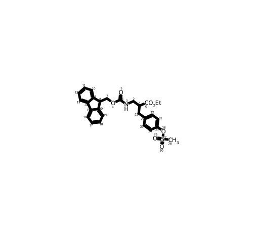 CCOC(=O)C(CNC(=O)OCC1c2ccccc2-c2ccccc21)Cc1ccc(OS(C)(=O)=O)cc1